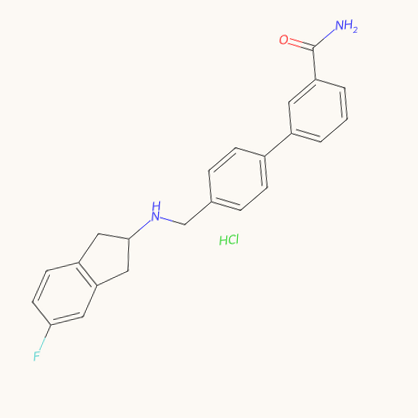 Cl.NC(=O)c1cccc(-c2ccc(CNC3Cc4ccc(F)cc4C3)cc2)c1